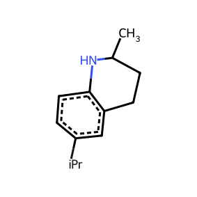 CC1CCc2cc(C(C)C)ccc2N1